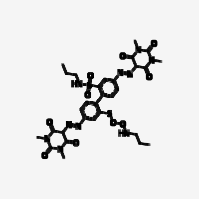 CCCNOOSc1cc(N=NC2C(=O)N(C)C(=O)N(C)C2=O)ccc1-c1ccc(N=NC2C(=O)N(C)C(=O)N(C)C2=O)cc1S(=O)(=O)NCCC